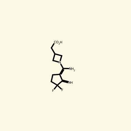 N=C1/C(=C(\N)N2CC(CC(=O)O)C2)CCC1(F)F